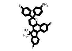 CC1(C)c2cc(F)ccc2-c2c1c1c(c3cc(F)ccc23)OC(c2ccc(F)cc2)(c2ccc(P)cc2)C=C1